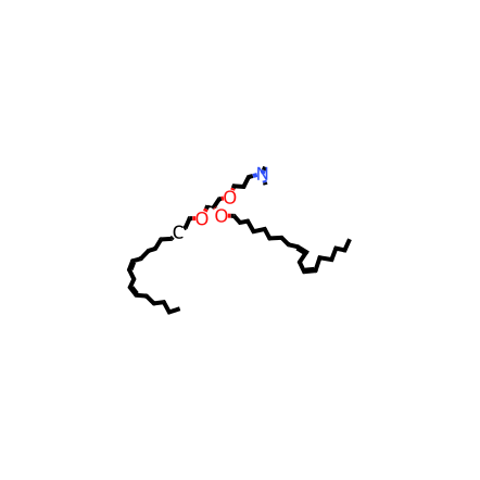 CCCCC/C=C\C/C=C\CCCCCCCCOC[C@@H](COCCCN(C)C)OCCCCCCCC/C=C\C/C=C\CCCCC